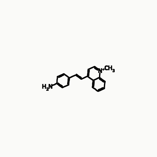 C[n+]1ccc(C=Cc2ccc(N)cc2)c2ccccc21